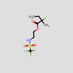 CCC(C)(F)C(=O)OCCNS(=O)(=O)C(F)(F)F